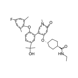 CCNC(=O)[C@H]1CC[C@H](Oc2cc(=O)n(C)cc2-c2cc(C(C)(C)O)ccc2Oc2c(C)cc(F)cc2C)CC1